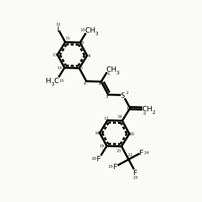 C=C(S/C=C(\C)Cc1cc(C)c(I)cc1C)c1ccc(F)c(C(F)(F)F)c1